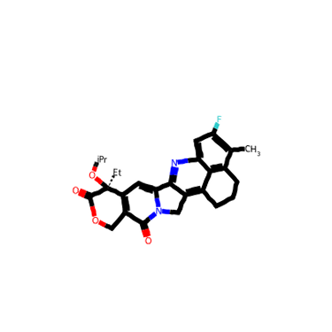 CC[C@@]1(OC(C)C)C(=O)OCc2c1cc1n(c2=O)Cc2c-1nc1cc(F)c(C)c3c1c2CCC3